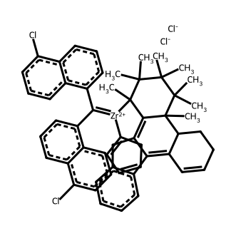 CC12C(=C3Cc4ccccc4C3=C3C=CCCC31)[C](C)([Zr+2]([C]1=CC=CC1)=[C](c1cccc3c(Cl)cccc13)c1cccc3c(Cl)cccc13)C(C)(C)C(C)(C)C2(C)C.[Cl-].[Cl-]